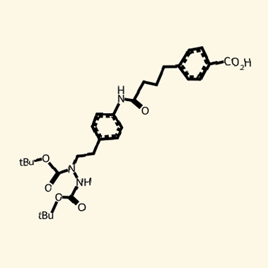 CC(C)(C)OC(=O)NN(CCc1ccc(NC(=O)CCCc2ccc(C(=O)O)cc2)cc1)C(=O)OC(C)(C)C